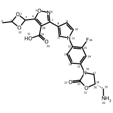 CC1OC(c2onc(-c3ccn(-c4ccc(N5C[C@H](CN)OC5=O)cc4F)c3)c2C(=O)O)O1